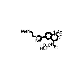 CCN(C(=O)O)[C@@H]1C[C@H](C)[N+](C)(C(C)=O)c2ccc(-c3cnn(CCNC)c3)cc21.Cl